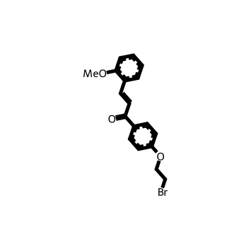 COc1ccccc1C=CC(=O)c1ccc(OCCBr)cc1